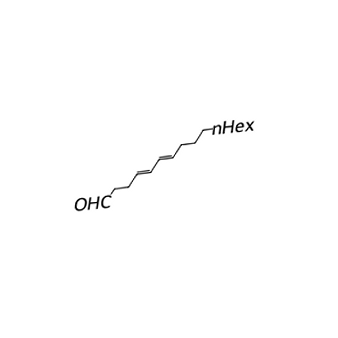 CCCCCCCCC/C=C/C=C/CCC=O